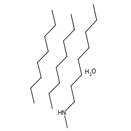 CCCCCCCC.CCCCCCCC.CCCCCCCCNC.O